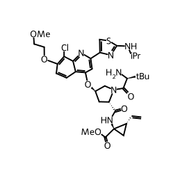 C=C[C@@H]1C[C@]1(NC(=O)[C@@H]1C[C@@H](Oc2cc(-c3csc(NC(C)C)n3)nc3c(Cl)c(OCCOC)ccc23)CN1C(=O)[C@@H](N)C(C)(C)C)C(=O)OC